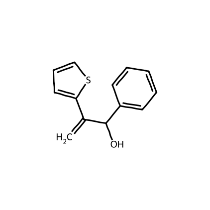 C=C(c1cccs1)C(O)c1ccccc1